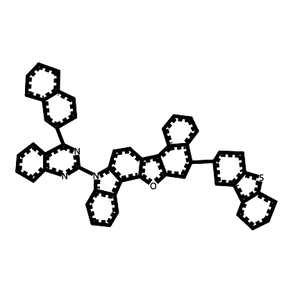 c1ccc2cc(-c3nc(-n4c5ccccc5c5c6oc7cc(-c8ccc9sc%10ccccc%10c9c8)c8ccccc8c7c6ccc54)nc4ccccc34)ccc2c1